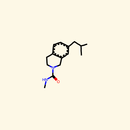 CNC(=O)N1CCc2ccc(CC(C)C)cc2C1